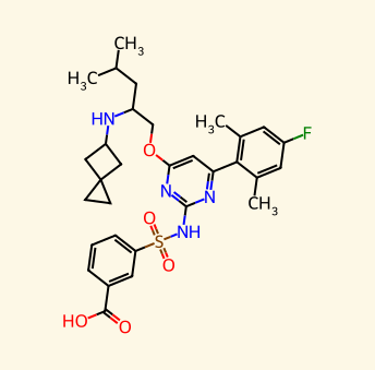 Cc1cc(F)cc(C)c1-c1cc(OCC(CC(C)C)NC2CC3(CC3)C2)nc(NS(=O)(=O)c2cccc(C(=O)O)c2)n1